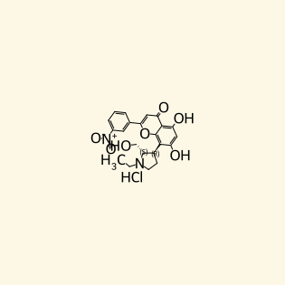 CCN1CC[C@H](c2c(O)cc(O)c3c(=O)cc(-c4cccc([N+](=O)[O-])c4)oc23)[C@H]1CO.Cl